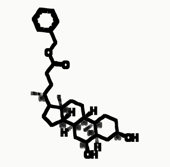 C[C@H](CCC(=O)OCc1ccccc1)C1CC[C@H]2[C@@H]3C[C@H](O)[C@@H]4C[C@H](O)CC[C@]4(C)[C@H]3CC[C@]12C